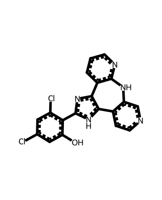 Oc1cc(Cl)cc(Cl)c1-c1nc2c([nH]1)-c1ccncc1Nc1ncccc1-2